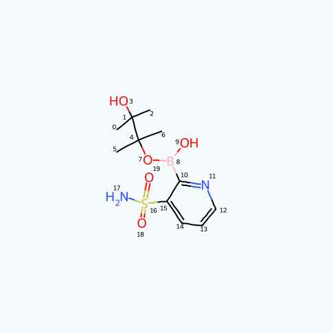 CC(C)(O)C(C)(C)OB(O)c1ncccc1S(N)(=O)=O